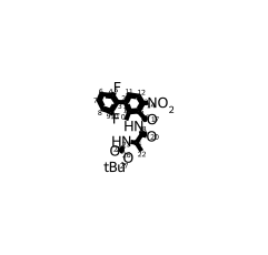 Cc1c(-c2c(F)cccc2F)ccc([N+](=O)[O-])c1C(=O)NC(=O)C(C)NC(=O)OC(C)(C)C